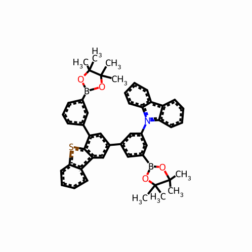 CC1(C)OB(c2cccc(-c3cc(-c4cc(B5OC(C)(C)C(C)(C)O5)cc(-n5c6ccccc6c6ccccc65)c4)cc4c3sc3ccccc34)c2)OC1(C)C